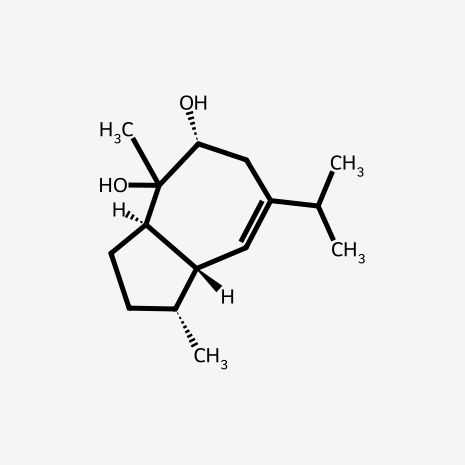 CC(C)C1=C[C@@H]2[C@H](C)CC[C@H]2C(C)(O)[C@H](O)C1